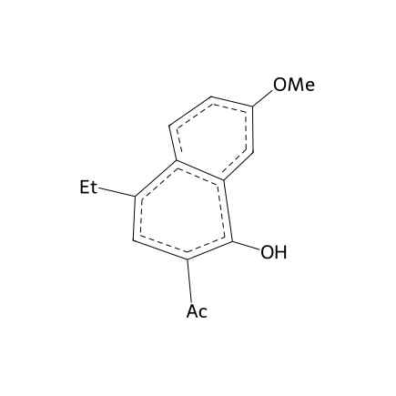 CCc1cc(C(C)=O)c(O)c2cc(OC)ccc12